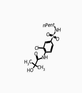 CCCCCNS(=O)(=O)c1ccc(NC(=O)C(C)(C)O)c(Cl)c1